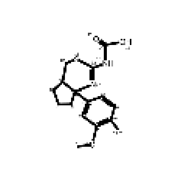 COc1cc(C23CCCC2CSC(NC(=O)O)=N3)ccc1F